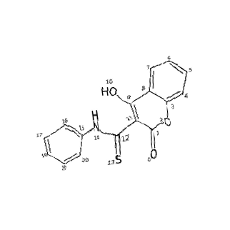 O=c1oc2ccccc2c(O)c1C(=S)Nc1ccccc1